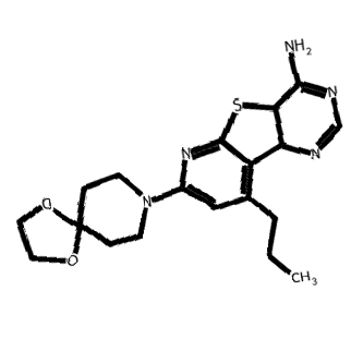 CCCc1cc(N2CCC3(CC2)OCCO3)nc2c1C1N=CN=C(N)C1S2